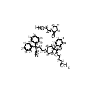 CCCCOC(=O)C1(c2ccccc2)CCN(CCC(C#N)(c2ccccc2)c2ccccc2)CC1.O=C1CCCN1CCO